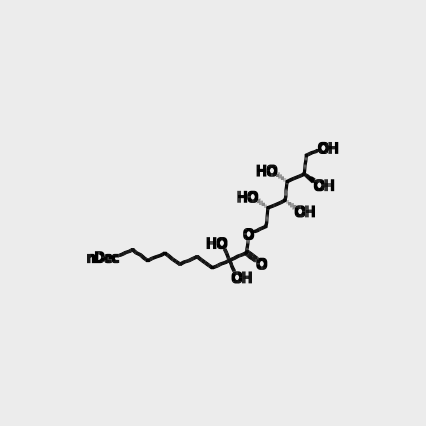 CCCCCCCCCCCCCCCCC(O)(O)C(=O)OC[C@H](O)[C@@H](O)[C@H](O)[C@H](O)CO